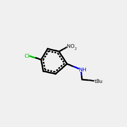 CC(C)(C)CNc1ccc(Cl)cc1[N+](=O)[O-]